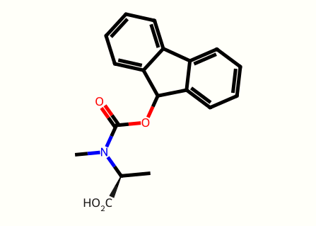 C[C@@H](C(=O)O)N(C)C(=O)OC1c2ccccc2-c2ccccc21